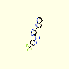 Cc1c(Nc2ccc(C(F)(F)F)cn2)ncnc1-c1ccc2cccnc2n1